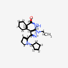 CCn1nc(C2CCCN2C2CCCC2)c2c3c(c(=O)[nH]c21)CCCC3